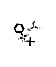 CC(C)(C)NS(=O)(=O)c1ccccc1.OB(O)O